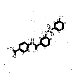 O=C(O)c1ccc(NC(=O)c2cccc(NS(=O)(=O)c3cccc(F)c3)c2)cc1